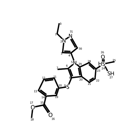 CCn1cc(-n2c(C)c(Sc3cccc(C(=O)OC)c3)c3ccc([SH](C)(=O)S)cc32)cn1